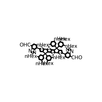 CCCCCCc1cc(CCCCCC)cc(C2(c3cc(CCCCCC)cc(CCCCCC)c3)c3cc(-c4ccc(C=O)c5nsnc45)sc3-c3sc4c5c(sc4c32)-c2sc(-c3ccc(C=O)c4nsnc34)cc2C5(c2cc(CCCCCC)cc(CCCCCC)c2)c2cc(CCCCCC)cc(CCCCCC)c2)c1